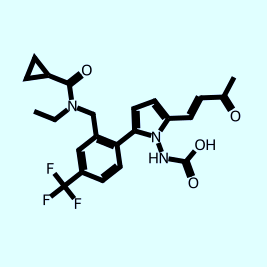 CCN(Cc1cc(C(F)(F)F)ccc1-c1ccc(C=CC(C)=O)n1NC(=O)O)C(=O)C1CC1